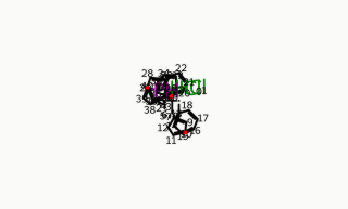 Cl.Cl.[CH3][Ti]([CH3])([CH3])([CH3])([CH3])([C]1=CC=CC1)([c]1ccccc1)([c]1ccccc1)([c]1ccccc1)([c]1ccccc1)[c]1ccc[pH]1